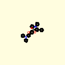 c1ccc(-c2cc3c4c(c2)N(c2ccccc2)c2ccccc2B4c2cc4oc5cc(N(c6ccccc6)c6ccccc6)ccc5c4cc2O3)cc1